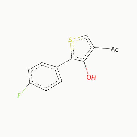 CC(=O)c1csc(-c2ccc(F)cc2)c1O